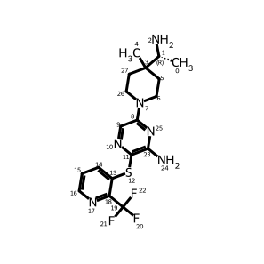 C[C@@H](N)C1(C)CCN(c2cnc(Sc3cccnc3C(F)(F)F)c(N)n2)CC1